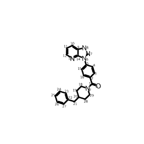 O=C(c1ccc(-n2nnc3cccnc32)cc1)N1CCC(Cc2ccccc2)CC1